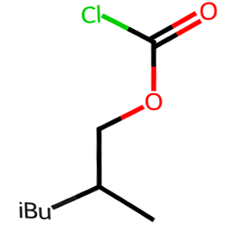 CCC(C)C(C)COC(=O)Cl